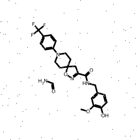 COc1cc(CNC(=O)C2=NOC3(CCN(c4ccc(C(F)(F)F)cc4)CC3)C2)ccc1O.NC=O